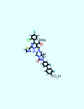 COC(=O)C1=C(CN2CCN3C(=O)N(c4ccc(-c5ccc(C(=O)O)c(F)c5)c(F)c4)C[C@@H]3C2)NC(c2nccs2)=NC1c1ccc(F)cc1Cl